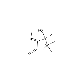 C=CC(=NC)C(C)(O)[Si](C)(C)C